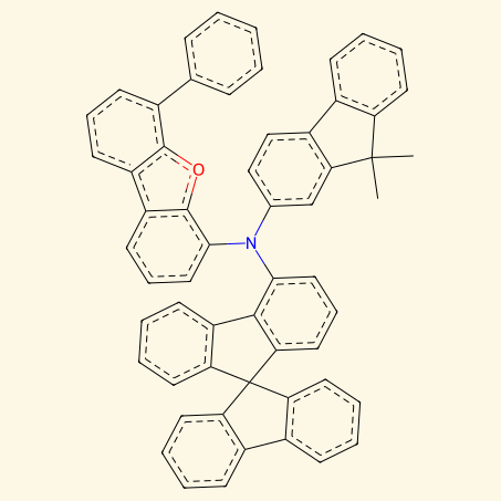 CC1(C)c2ccccc2-c2ccc(N(c3cccc4c3-c3ccccc3C43c4ccccc4-c4ccccc43)c3cccc4c3oc3c(-c5ccccc5)cccc34)cc21